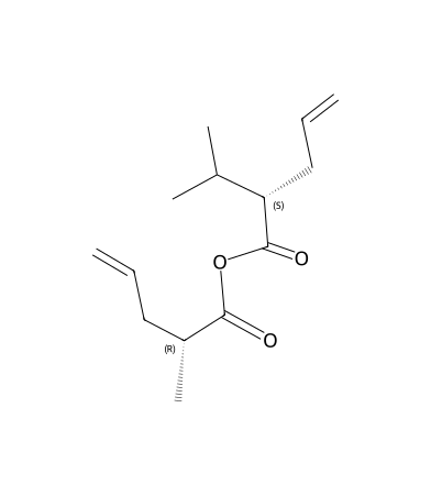 C=CC[C@@H](C)C(=O)OC(=O)[C@@H](CC=C)C(C)C